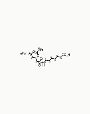 CCCCCC(CCCS(=O)(=O)NCCCCCCC(=O)O)OC(=O)CCC